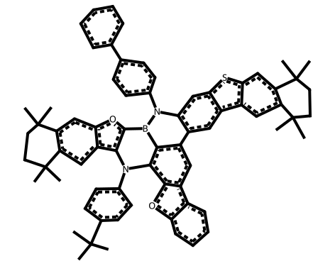 CC(C)(C)c1ccc(N2c3c(oc4cc5c(cc34)C(C)(C)CCC5(C)C)B3c4c(cc5c(oc6ccccc65)c42)-c2cc4c(cc2N3c2ccc(-c3ccccc3)cc2)sc2cc3c(cc24)C(C)(C)CCC3(C)C)cc1